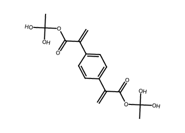 C=C(C(=O)OC(C)(O)O)c1ccc(C(=C)C(=O)OC(C)(O)O)cc1